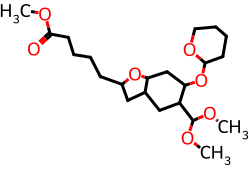 COC(=O)CCCCC1CC2CC(C(OC)OC)C(OC3CCCCO3)CC2O1